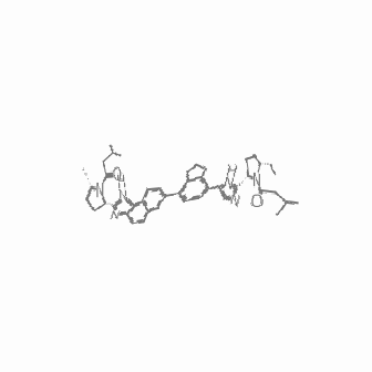 CC[C@H]1CC[C@@H](c2ncc(-c3ccc(-c4ccc5c(ccc6nc([C@@H]7CC[C@H](C)N7C(=O)CC(C)C)[nH]c65)c4)c4c3CCC4)[nH]2)N1C(=O)CC(C)C